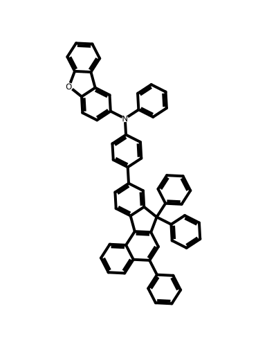 c1ccc(-c2cc3c(c4ccccc24)-c2ccc(-c4ccc(N(c5ccccc5)c5ccc6oc7ccccc7c6c5)cc4)cc2C3(c2ccccc2)c2ccccc2)cc1